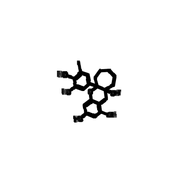 Cc1cc(C23CCCCCC2(O)Cc2c(O)cc(O)cc2O3)cc(O)c1O